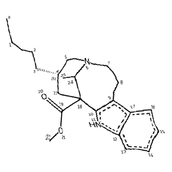 CCCC[C@@H]1CN2CCc3c([nH]c4ccccc34)C(C(=O)OC)(C1)C2C